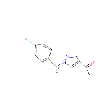 CC(=O)c1cnn([C@H](C)c2ccc(F)cc2)c1